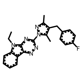 CCn1c2ccccc2c2nnc(-n3nc(C)c(Cc4ccc(F)cc4)c3C)nc21